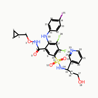 O=C(NOCC1CC1)c1cc(S(=O)(=O)NC(CCO)c2cccnc2)c(F)c(F)c1Nc1ccc(I)cc1